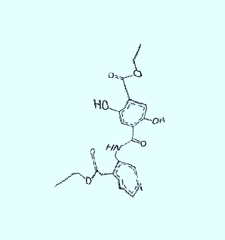 CCOC(=O)c1cc(O)c(C(=O)Nc2cnccc2C(=O)OCC)cc1O